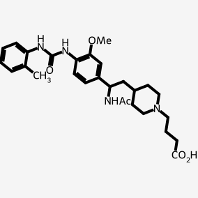 COc1cc(C(CC2CCN(CCCC(=O)O)CC2)NC(C)=O)ccc1NC(=O)Nc1ccccc1C